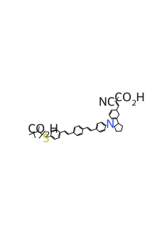 CC(C(C)(C)Sc1ccc(C=Cc2ccc(C=Cc3ccc(N4C5=C(CC(/C=C(\C#N)C(=O)O)C=C5)C5CCCC54)cc3)cc2)cc1)C(C)(C)C(=O)O